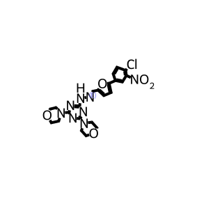 O=[N+]([O-])c1cc(-c2ccc(/C=N/Nc3nc(N4CCOCC4)nc(N4CCOCC4)n3)o2)ccc1Cl